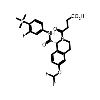 CS(C)(C)c1ccc(NC(=O)[C@H]2c3ccc(OC(F)F)cc3CCN2C(=O)CCC(=O)O)cc1F